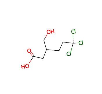 O=C(O)CC(CO)CCC(Cl)(Cl)Cl